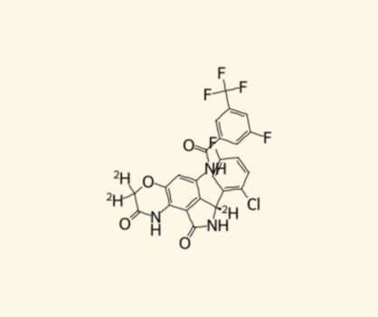 [2H]C1([2H])Oc2cc(NC(=O)c3cc(F)cc(C(F)(F)F)c3)c3c(c2NC1=O)C(=O)N[C@@]3([2H])c1cc(F)ccc1Cl